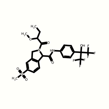 CCC(OC)C(=O)N1Cc2cc(S(C)(=O)=O)ccc2C1C(=O)Nc1ccc(C(O)(C(F)(F)F)C(F)(F)F)cc1